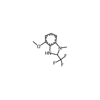 COc1cccc2c1NC(C(F)(F)F)N2C